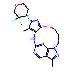 Cc1nn2c3nc(ncc13)Nc1c(nn([C@H]3CCOC[C@]3(C)F)c1C)OCCC2